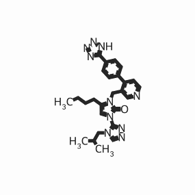 CCCCc1cn(-c2nncn2CC(C)C)c(=O)n1Cc1cnccc1-c1ccc(-c2nnn[nH]2)cc1